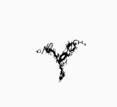 CN1CCN(c2cc3nc(C=Cc4ccc([N+](=O)[O-])o4)nc(NCCCN4CCCC4)c3cc2F)CC1